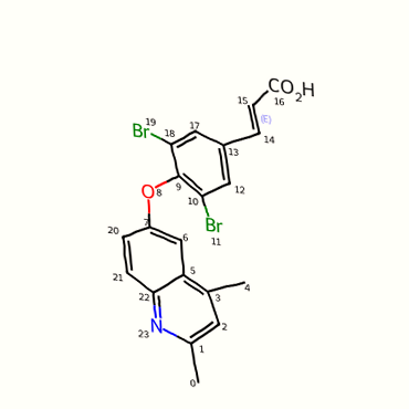 Cc1cc(C)c2cc(Oc3c(Br)cc(/C=C/C(=O)O)cc3Br)ccc2n1